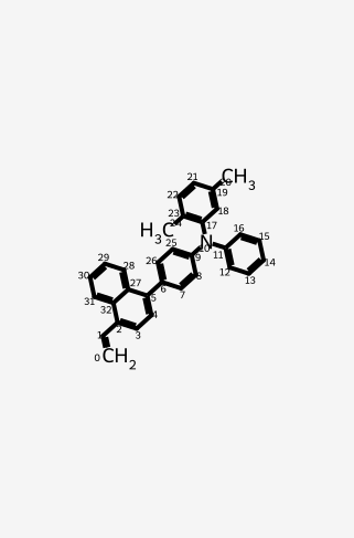 C=Cc1ccc(-c2ccc(N(c3ccccc3)c3cc(C)ccc3C)cc2)c2ccccc12